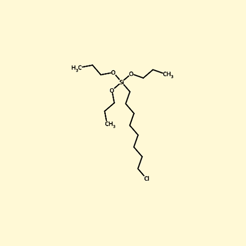 CCCO[Si](CCCCCCCCCl)(OCCC)OCCC